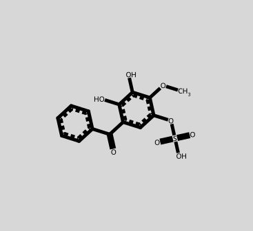 COc1c(OS(=O)(=O)O)cc(C(=O)c2ccccc2)c(O)c1O